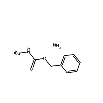 CCCCNC(=O)OCc1ccccc1.N